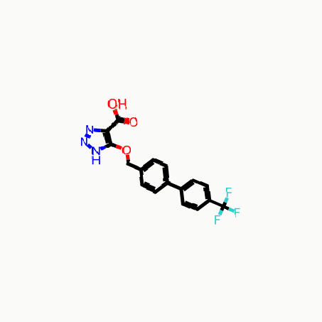 O=C(O)c1nn[nH]c1OCc1ccc(-c2ccc(C(F)(F)F)cc2)cc1